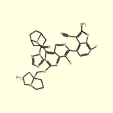 N#Cc1c(N)sc2c(F)ccc(-c3ncc4c(N5CC6CCC(C5)N6C(=O)n5cncn5)nc(OC[C@@]56CCCN5C[C@H](F)C6)nc4c3F)c12